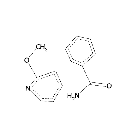 COc1ccccn1.NC(=O)c1ccccc1